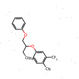 COCC(COc1ccccc1)Oc1ccc(C#N)c(C(F)(F)F)c1